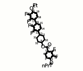 CCCOc1ccc(C(=O)OC2CCC(c3ccc(-c4ccc(OCC)c(F)c4F)c(F)c3F)CC2)c(F)c1F